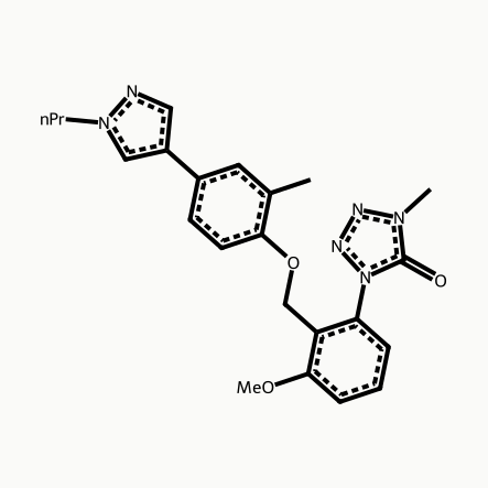 CCCn1cc(-c2ccc(OCc3c(OC)cccc3-n3nnn(C)c3=O)c(C)c2)cn1